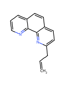 C=CCc1ccc2ccc3cccnc3c2n1